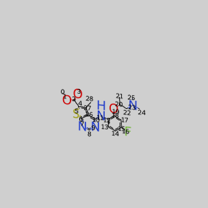 COC(=O)c1sc2ncnc(Nc3ccc(F)cc3OC(C)CN(C)C)c2c1C